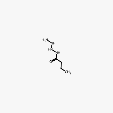 CCCC(=O)NNNN